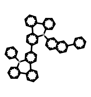 c1ccc(-c2ccc3ccc(N4c5ccccc5-c5ccccc5-c5ccc(-c6ccc7c(c6)N(c6ccccc6)c6ccccc6-c6ccccc6-7)cc54)cc3c2)cc1